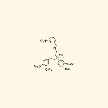 COc1ccc(CC[N+](C)(CCNCc2cccc([N+](=O)[O-])c2)c2ccc(OC)c(OC)c2)cc1OC